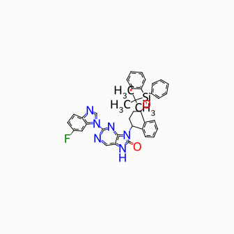 CC(C)(C)[Si](OC1CCC(n2c(=O)[nH]c3cnc(-n4cnc5ccc(F)cc54)nc32)c2ccccc21)(c1ccccc1)c1ccccc1